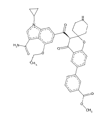 CCOc1cc(C(=O)[C@@H]2C(=O)c3cc(-c4cccc(C(=O)OC)c4)ccc3OC23CCNCC3)cc2c1c(C(N)=O)cn2C1CC1